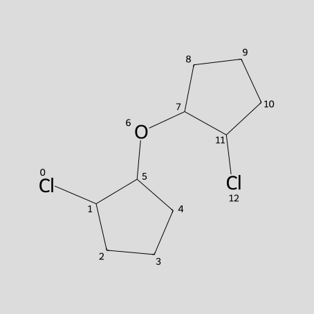 ClC1CCCC1OC1CCCC1Cl